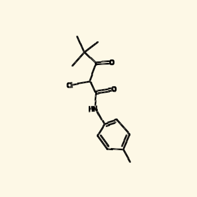 Cc1ccc(NC(=O)C(Cl)C(=O)C(C)(C)C)cc1